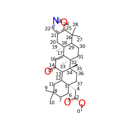 COC(=O)C[C@]12CCC(C)(C)CC1C1C(=O)C=C3[C@@]4(C)Cc5cnoc5C(C)(C)C4CC[C@@]3(C)[C@]1(C)CC2